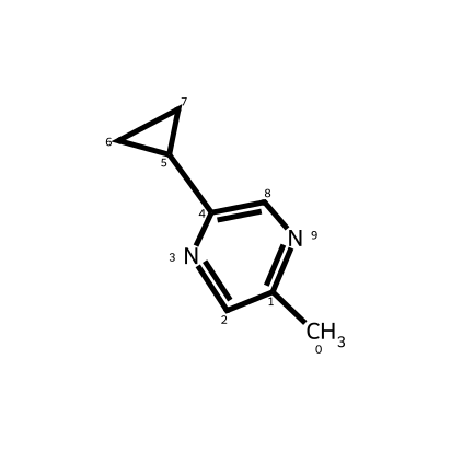 Cc1cnc(C2CC2)cn1